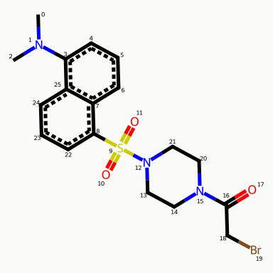 CN(C)c1cccc2c(S(=O)(=O)N3CCN(C(=O)CBr)CC3)cccc12